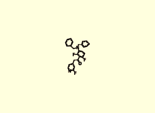 O=C(Cc1ccnc(F)c1)c1c(F)ccc(N(Cc2ccccc2)Cc2ccccc2)c1F